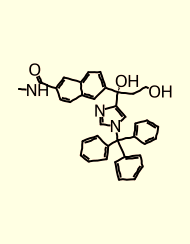 CNC(=O)c1ccc2cc([C@@](O)(CCO)c3cn(C(c4ccccc4)(c4ccccc4)c4ccccc4)cn3)ccc2c1